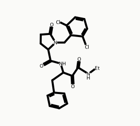 CCNC(=O)C(=O)C(Cc1ccccc1)NC(=O)C1CCC(=O)N1Cc1c(Cl)cccc1Cl